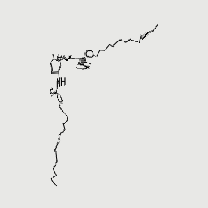 CCCCCCCCCCCCOC(=S)Nc1ccc(C)c(NC(=S)OCCCCCCCCCCCC)c1